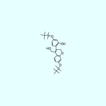 CC(C)(C)[Si](C)(C)Oc1ccc(C2=C(CO)c3ccc(O[Si](C)(C)C(C)(C)C)cc3OC2)c(O)c1